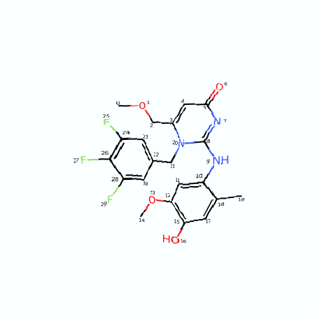 COCc1cc(=O)nc(Nc2cc(OC)c(O)cc2C)n1Cc1cc(F)c(F)c(F)c1